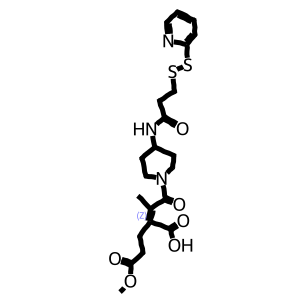 COC(=O)CC/C(C(=O)O)=C(\C)C(=O)N1CCC(NC(=O)CCSSc2ccccn2)CC1